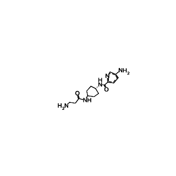 NCCC(=O)N[C@H]1CC[C@H](NC(=O)c2ccc(N)cn2)CC1